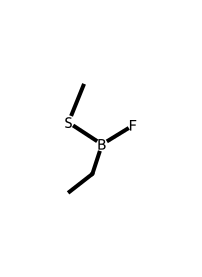 CCB(F)SC